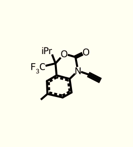 C#CN1C(=O)OC(C(C)C)(C(F)(F)F)c2cc(C)ccc21